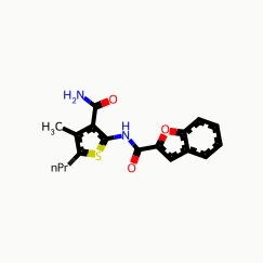 CCCc1sc(NC(=O)c2cc3ccccc3o2)c(C(N)=O)c1C